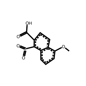 COc1cccc2c(I(=O)=O)c(C(=O)O)ccc12